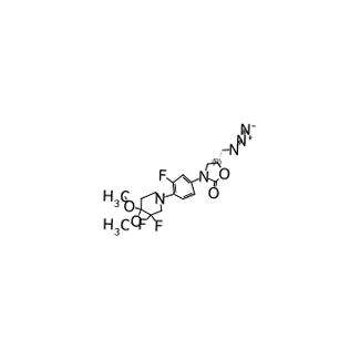 COC1(OC)CCN(c2ccc(N3C[C@H](CN=[N+]=[N-])OC3=O)cc2F)CC1(F)F